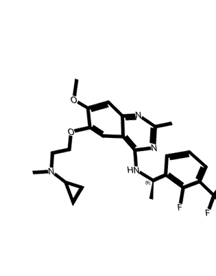 COc1cc2nc(C)nc(N[C@H](C)c3cccc(C(F)(F)F)c3F)c2cc1OCCN(C)C1CC1